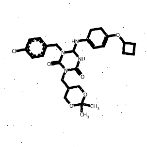 CC1(C)OCC(CN2C(=O)NC(NC3=CC=C(OC4CCC4)CC3)N(Cc3ccc(Cl)cc3)C2=O)CO1